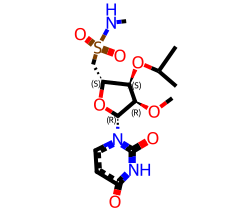 CNS(=O)(=O)C[C@H]1O[C@@H](n2ccc(=O)[nH]c2=O)[C@H](OC)[C@@H]1OC(C)C